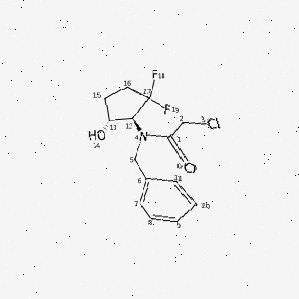 O=C(CCl)N(Cc1ccccc1)[C@H]1[C@H](O)CCC1(F)F